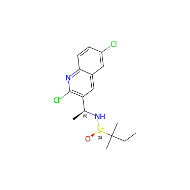 CCC(C)(C)[S@@+]([O-])N[C@@H](C)c1cc2cc(Cl)ccc2nc1Cl